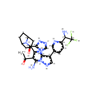 CC(=O)c1c(C2CC3CCC(C2)N3C(=O)c2nnc[nH]2)nc2c(-c3ccc(C(N)C(F)(F)F)nc3)cnn2c1N